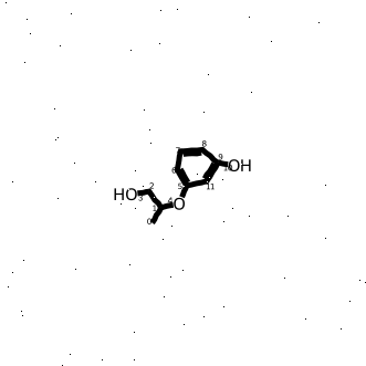 CC(CO)Oc1cccc(O)c1